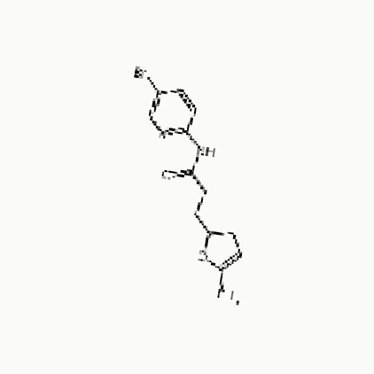 CC1=CCC(CCC(=O)Nc2ccc(Br)cn2)O1